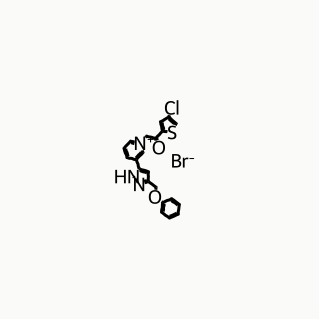 O=C(C[n+]1cccc(-c2cc(COc3ccccc3)n[nH]2)c1)c1cc(Cl)cs1.[Br-]